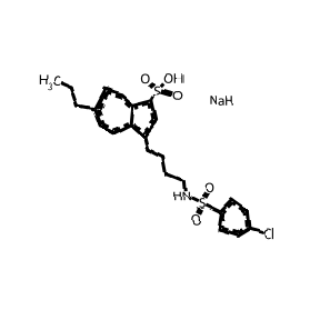 CCCc1ccc2c(CCCCNS(=O)(=O)c3ccc(Cl)cc3)cc(S(=O)(=O)O)c-2cc1.[NaH]